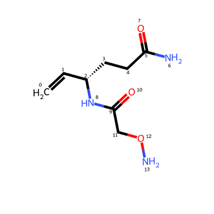 C=C[C@H](CCC(N)=O)NC(=O)CON